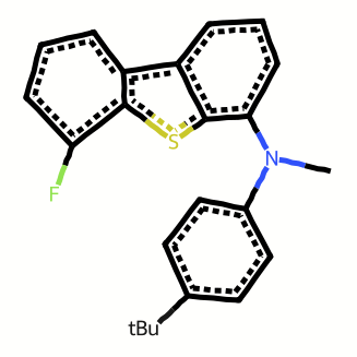 CN(c1ccc(C(C)(C)C)cc1)c1cccc2c1sc1c(F)cccc12